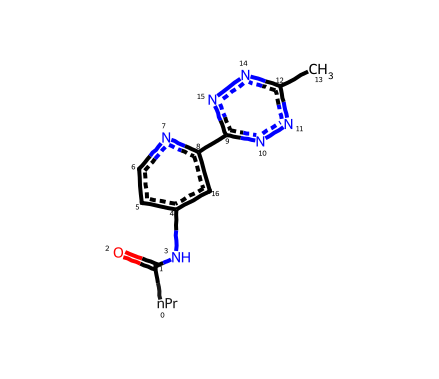 CCCC(=O)Nc1ccnc(-c2nnc(C)nn2)c1